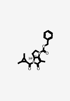 CC1=C2[C@H](CCN2C(=O)OCc2ccccc2)N(C(=O)C2C(C)C2C)C1=O